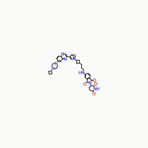 O=C1CCC(N2C(=O)c3ccc(NCCCC4CC(n5cc(-c6cnc7ccc(N8CCN(C9CCC9)CC8)cc7n6)cn5)C4)cc3C2=O)C(=O)N1